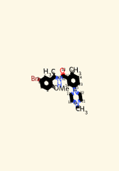 COc1ccc(Br)cc1[C@@H](C)NC(=O)c1cc(N2CCN(C)CC2)ccc1C